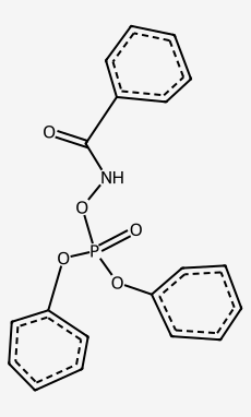 O=C(NOP(=O)(Oc1ccccc1)Oc1ccccc1)c1ccccc1